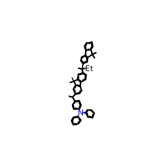 CCC(C)(c1ccc2c(c1)C(C)(C)c1ccccc1-2)c1ccc2c(c1)C(C)(C)c1cc(C(C)c3ccc(N(c4ccccc4)c4ccccc4)cc3)ccc1-2